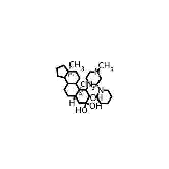 CN1CCN(C2C(O)C(O)(O)C[C@@H]3CCC4C5CCC[C@@]5(C)CCC4[C@@]23C)[C@@H](N2CCCCC2)C1